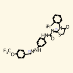 CC(C)c1ccccc1N1C(=O)CS/C1=N\C(=O)Nc1ccc(N/N=C/c2ccc(OC(F)(F)F)cc2)cc1